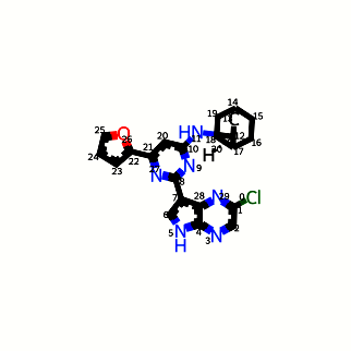 Clc1cnc2[nH]cc(-c3nc(N[C@H]4CC5CCC4CC5)cc(-c4ccco4)n3)c2n1